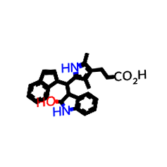 Cc1[nH]c(C(C2C=Cc3ccccc32)C2c3ccccc3NC2O)c(C)c1CCC(=O)O